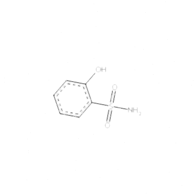 NS(=O)(=O)c1[c]cccc1O